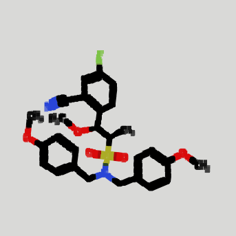 COc1ccc(CN(Cc2ccc(OC)cc2)S(=O)(=O)[C@H](C)[C@@H](OC)c2ccc(F)cc2C#N)cc1